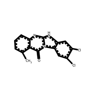 Cc1cccc2nc3[nH]c4cc(Cl)c(Cl)cc4n3c(=O)c12